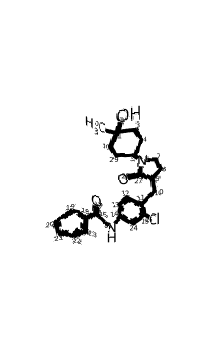 CC1(O)CCC(N2CCC(Cc3ccc(NC(=O)c4ccccc4)cc3Cl)C2=O)CC1